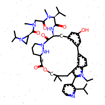 CCn1c(-c2cccnc2C(C)C)c2c3cc(ccc31)-c1cc(O)cc(c1)C[C@H](NC(=O)[C@H](C(C)C)N(C)C(=O)CN(C)C(=O)[C@H]1CN1C(C)C)C(=O)N1CCC[C@H](N1)C(=O)OCC(C)(C)C2